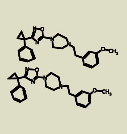 COc1cccc(CCN2CCN(c3nc(C4(c5ccccc5)CC4)no3)CC2)c1.COc1cccc(CCN2CCN(c3nc(C4(c5ccccc5)CC4)no3)CC2)c1